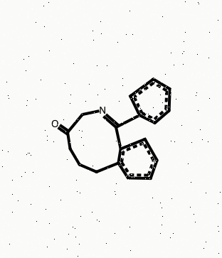 O=C1CCCc2ccccc2/C(c2ccccc2)=N\C1